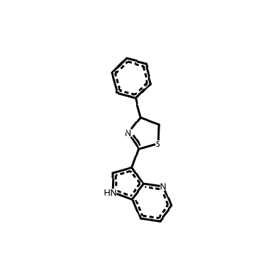 c1ccc(C2CSC(c3c[nH]c4cccnc34)=N2)cc1